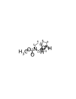 COC(=O)N1CC[C@@]23CC[C@@H](C[C@H]2C1)O3